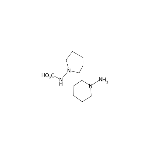 NN1CCCCC1.O=C(O)NN1CCCCC1